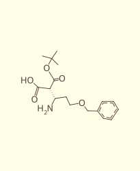 CC(C)(C)OC(=O)[C@@H](C(=O)O)C(N)CCOCc1ccccc1